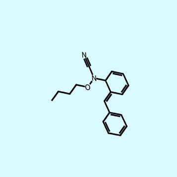 CCCCON(C#N)C1C=CC=CC1=Cc1ccccc1